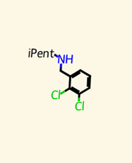 CCCC(C)NCc1cccc(Cl)c1Cl